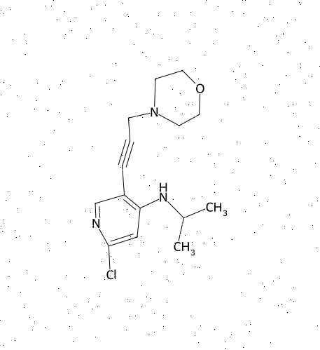 CC(C)Nc1cc(Cl)ncc1C#CCN1CCOCC1